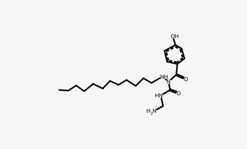 CCCCCCCCCCCCNN(C(=O)NCN)C(=O)c1ccc(O)cc1